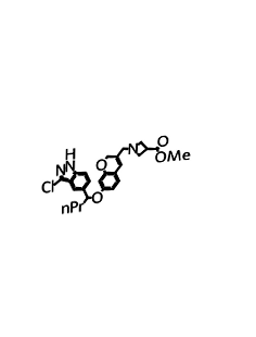 CCCC(Oc1ccc2c(c1)OCC(CN1CC(C(=O)OC)C1)=C2)c1ccc2[nH]nc(Cl)c2c1